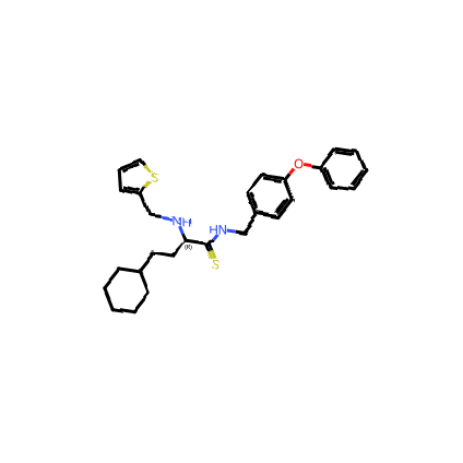 S=C(NCc1ccc(Oc2ccccc2)cc1)[C@@H](CCC1CCCCC1)NCc1cccs1